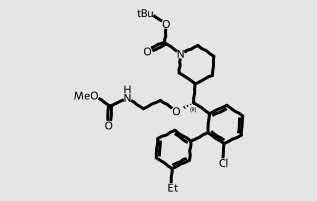 CCc1cccc(-c2c(Cl)cccc2[C@H](OCCNC(=O)OC)C2CCCN(C(=O)OC(C)(C)C)C2)c1